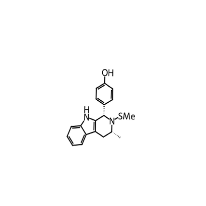 CSN1[C@@H](c2ccc(O)cc2)c2[nH]c3ccccc3c2C[C@H]1C